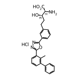 Cc1c(-c2ccccc2)cccc1-c1nnc(-c2cccc(CC[C@@H](O)[C@H](N)C(=O)O)c2)o1.Cl